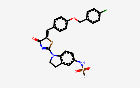 O=C1N=C(N2CCc3cc(NS(=O)(=O)C(F)(F)F)ccc32)SC1=Cc1ccc(OCc2ccc(F)cc2)cc1